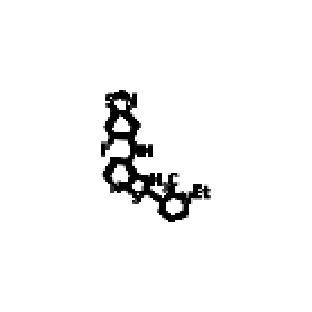 CCN1CCCC(c2cc3c(Nc4cc5ncsc5cc4F)ccnc3s2)C1C